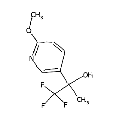 COc1ccc(C(C)(O)C(F)(F)F)cn1